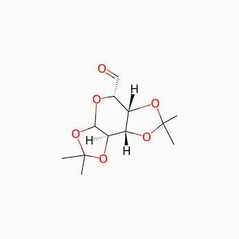 CC1(C)O[C@@H]2[C@H](O1)[C@H]1OC(C)(C)OC1O[C@@H]2C=O